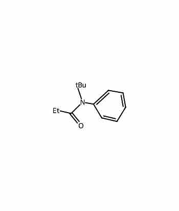 [CH2]C(C)(C)N(C(=O)CC)c1ccccc1